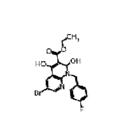 CCOC(=O)C1=C(O)c2cc(Br)cnc2N(Cc2ccc(F)cc2)C1O